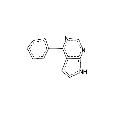 c1ccc(-c2ncnc3[nH]ccc23)cc1